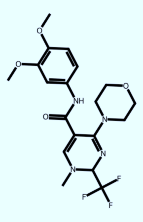 COc1ccc(NC(=O)C2=CN(C)C(C(F)(F)F)N=C2N2CCOCC2)cc1OC